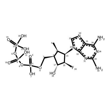 C[C@@H]1[C@H](COP(=O)(O)OP(=O)(O)OP(=O)(O)O)[C@@H](O)[C@H](F)[C@@H]1n1cnc2c(N)nc(N)nc21